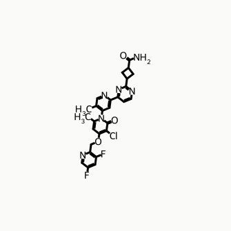 Cc1cnc(-c2ccnc(C3CC(C(N)=O)C3)n2)cc1-n1c(C)cc(OCc2ncc(F)cc2F)c(Cl)c1=O